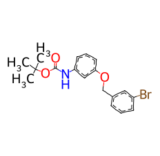 CC(C)(C)OC(=O)Nc1cccc(OCc2cccc(Br)c2)c1